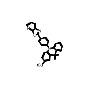 CC(C)(C)c1ccc2c(c1)C(C)(C)c1ccccc1N2c1ccc(-c2nc3cccnc3o2)cc1